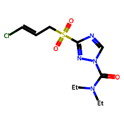 CCN(CC)C(=O)n1cnc(S(=O)(=O)CC=CCl)n1